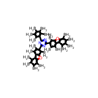 Bc1c(B)c(B)c(-c2nc(-c3c(B)c(B)c4c(oc5c(B)c(B)c(B)c(B)c54)c3B)nc(-c3c(B)c(B)c4c(oc5c(B)c(B)c(B)c(B)c54)c3B)n2)c(B)c1B